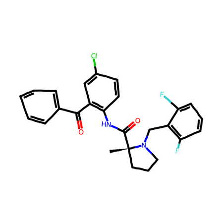 C[C@]1(C(=O)Nc2ccc(Cl)cc2C(=O)c2ccccc2)CCCN1Cc1c(F)cccc1F